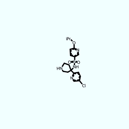 CC(C)Oc1ccc(S(=O)(=O)NC2(c3ccc(Cl)cn3)CCNCC2)cn1